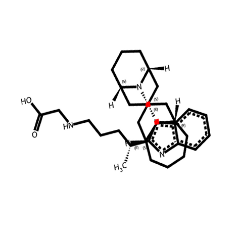 C[C@H](CCCNCC(=O)O)c1nc2ccccc2n1[C@H]1C[C@H]2CCC[C@@H](C1)N2[C@@H]1C[C@@H]2CCCC[C@@H](C2)C1